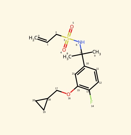 C=CCS(=O)(=O)NC(C)(C)c1ccc(F)c(OCC2CC2)c1